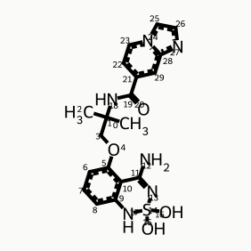 CC(C)(COc1cccc2c1C(N)=NS(O)(O)N2)NC(=O)c1ccn2ccnc2c1